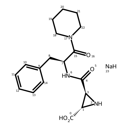 O=C(O)[C@H]1N[C@@H]1C(=O)N[C@@H](Cc1ccccc1)C(=O)N1CCCCC1.[NaH]